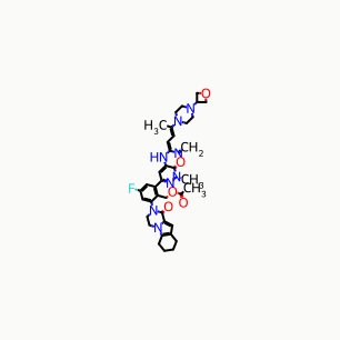 C=N/C(=C\C=C(/C)N1CCN(C2COC2)CC1)Nc1cc(-c2cc(F)cc(N3CCn4c(cc5c4CCCC5)C3=O)c2COC(C)=O)nn(C)c1=O